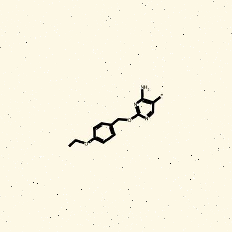 CCOc1ccc(COc2ncc(F)c(N)n2)cc1